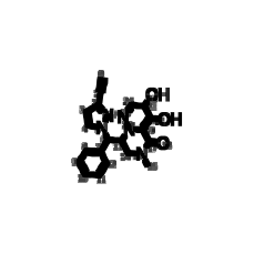 C#Cc1ccn(C(c2ccccc2)C2CN(C)C(=O)C3=C(O)C(O)C=NN32)n1